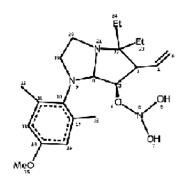 C=CC1[C@@H](ON(O)O)C2N(c3c(C)cc(OC)cc3C)CCN2C1(CC)CC